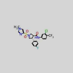 Cn1cnc(S(=O)(=O)N2C[C@@H](C(=O)Nc3ccc(C(F)(F)F)c(Cl)c3)[C@H](c3ccc(F)cc3)C2)c1